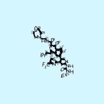 CCNC(=O)Nc1cc(-c2nc(C(F)(F)F)cs2)c(-c2ccc3c(=O)c(C(=O)NCCN4CCOCC4)cn(CCC(C)C)c3c2)cn1